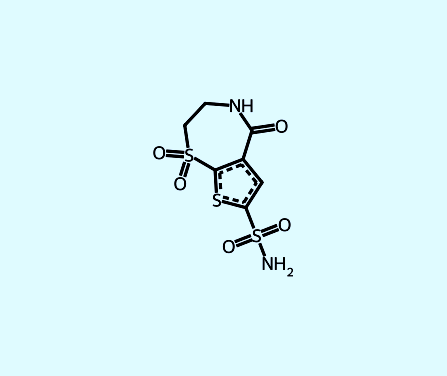 NS(=O)(=O)c1cc2c(s1)S(=O)(=O)CCNC2=O